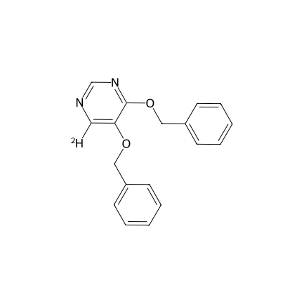 [2H]c1ncnc(OCc2ccccc2)c1OCc1ccccc1